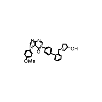 COc1ccc(-n2cnc3ncn(-c4ccc(-c5ccccc5CN5CC[C@H](O)C5)cc4)c(=O)c32)cc1